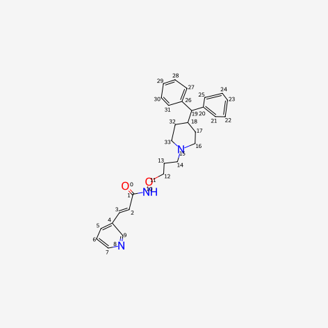 O=C(C=Cc1cccnc1)NOCCCN1CCC(C(c2ccccc2)c2ccccc2)CC1